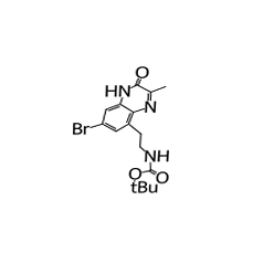 Cc1nc2c(CCNC(=O)OC(C)(C)C)cc(Br)cc2[nH]c1=O